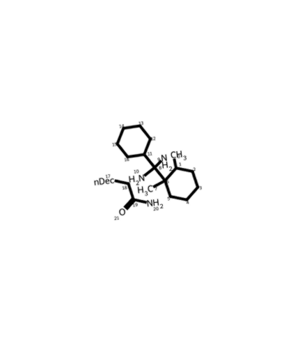 CC1CCCCC1(C)C(N)(N)C1CCCCC1.CCCCCCCCCCCC(N)=O